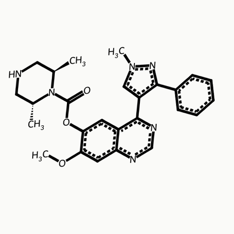 COc1cc2ncnc(-c3cn(C)nc3-c3ccccc3)c2cc1OC(=O)N1[C@H](C)CNC[C@H]1C